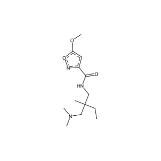 CCC(C)(CNC(=O)c1cc(OC)on1)CN(C)C